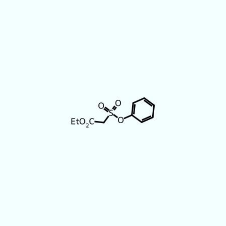 CCOC(=O)CS(=O)(=O)Oc1ccccc1